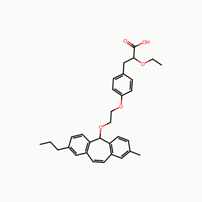 CCCc1ccc2c(c1)C=Cc1cc(C)ccc1C2OCCOc1ccc(CC(OCC)C(=O)O)cc1